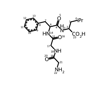 CC(C)CC(NC(=O)C(Cc1ccccc1)NC(=O)CNC(=O)CN)C(=O)O